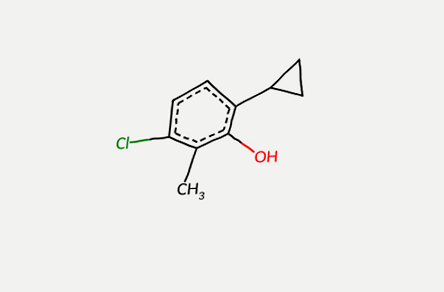 Cc1c(Cl)ccc(C2CC2)c1O